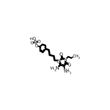 CCCn1c(=O)c(N)c(N)n(CCCCc2ccc(OS(=O)(=O)O)cc2)c1=O